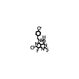 COc1ccc(CNc2nc(Cl)c(F)c3nc(SC)nc(O)c23)cc1